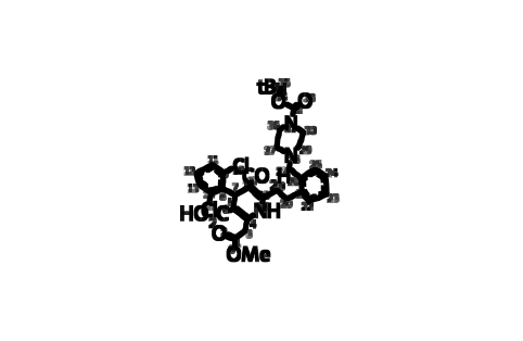 COC(=O)CC1=C(C(=O)O)C(c2c(Cl)cccc2Cl)C(C(=O)O)=C(CCc2ccccc2CN2CCN(C(=O)OC(C)(C)C)CC2)N1